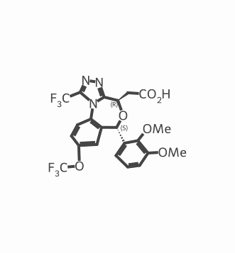 COc1cccc([C@H]2O[C@H](CC(=O)O)c3nnc(C(F)(F)F)n3-c3ccc(OC(F)(F)F)cc32)c1OC